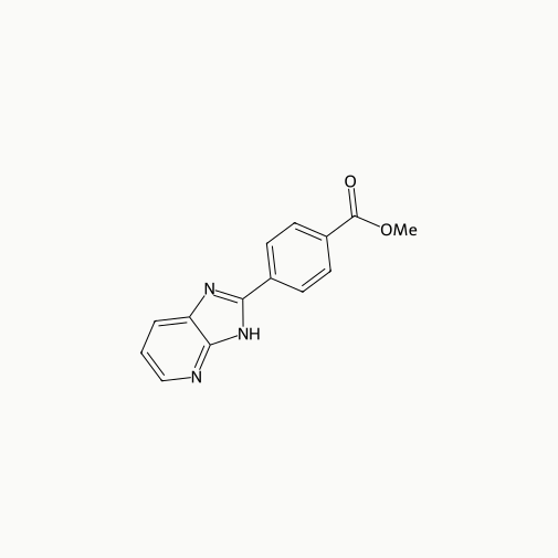 COC(=O)c1ccc(-c2nc3cccnc3[nH]2)cc1